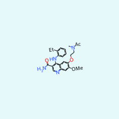 CCc1ccccc1Nc1c(C(N)=O)cnc2cc(OC)c(OCCN(C)C(C)=O)cc12